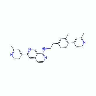 Cc1cc(-c2cc3ccnc(NCCc4ccc(-c5ccnc(C)c5)c(C)c4)c3cn2)ccn1